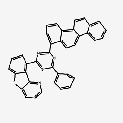 c1ccc(-c2nc(-c3cccc4c3ccc3c5ccccc5ccc43)nc(-c3cccc4oc5cccnc5c34)n2)cc1